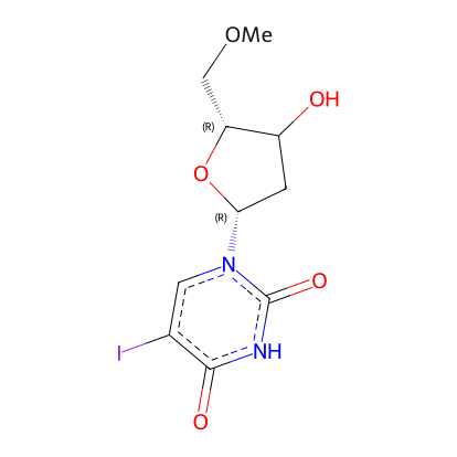 COC[C@H]1O[C@@H](n2cc(I)c(=O)[nH]c2=O)CC1O